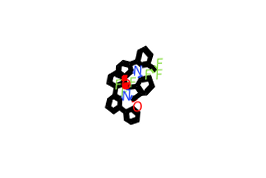 O=C1c2cccc(-n3c4c(C(F)(F)F)cccc4c4cccc(C(F)(F)F)c43)c2C(=O)N1c1c(-c2ccccc2)cccc1-c1ccccc1